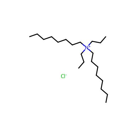 CCCCCCCC[N+](CCC)(CCC)CCCCCCCC.[Cl-]